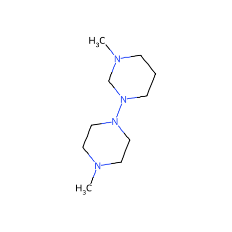 CN1CCN(N2CCCN(C)C2)CC1